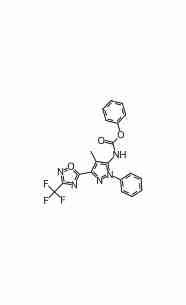 Cc1c(-c2nc(C(F)(F)F)no2)nn(-c2ccccc2)c1NC(=O)Oc1ccccc1